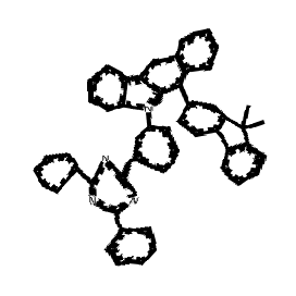 CC1(C)c2ccccc2-c2ccc(-c3c4ccccc4cc4c5ccccc5n(-c5cccc(-c6nc(-c7ccccc7)nc(-c7ccccc7)n6)c5)c34)cc21